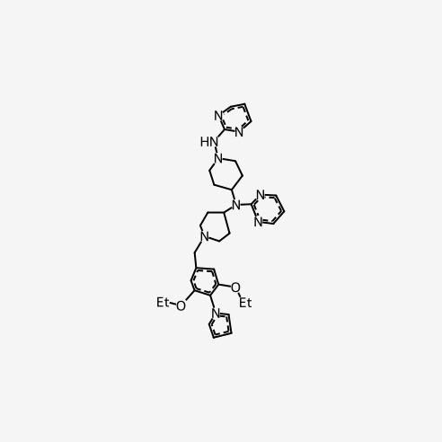 CCOc1cc(CN2CCC(N(c3ncccn3)C3CCN(Nc4ncccn4)CC3)CC2)cc(OCC)c1-n1cccc1